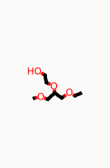 CCOCC(COC)OCCO